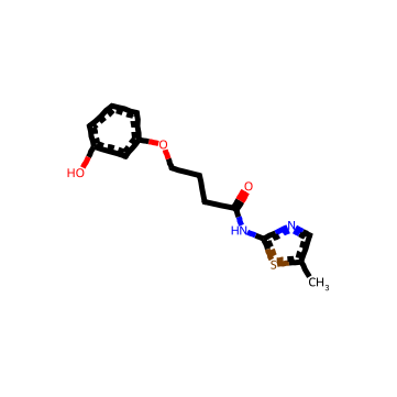 Cc1cnc(NC(=O)CCCOc2cccc(O)c2)s1